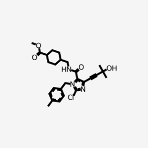 COC(=O)C1CCC(CNC(=O)c2c(C#CC(C)(C)O)nc(Cl)n2Cc2ccc(C)cc2)CC1